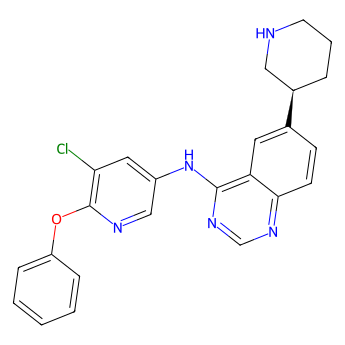 Clc1cc(Nc2ncnc3ccc([C@@H]4CCCNC4)cc23)cnc1Oc1ccccc1